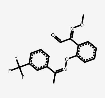 CO/N=C(/C=O)c1ccccc1O/N=C(/C)c1cccc(C(F)(F)F)c1